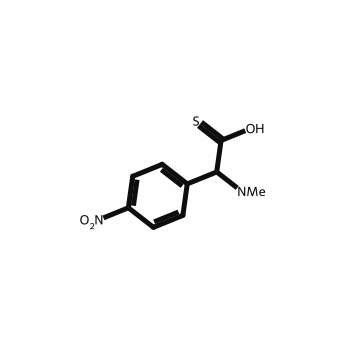 CNC(C(O)=S)c1ccc([N+](=O)[O-])cc1